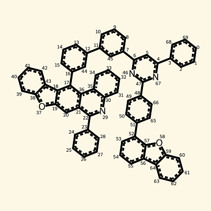 c1ccc(-c2cc(-c3cccc(-c4cccc(-c5c6c(cc7c(-c8ccccc8)nc8ccccc8c57)oc5ccccc56)c4)c3)nc(-c3ccc(-c4cccc5c4oc4ccccc45)cc3)n2)cc1